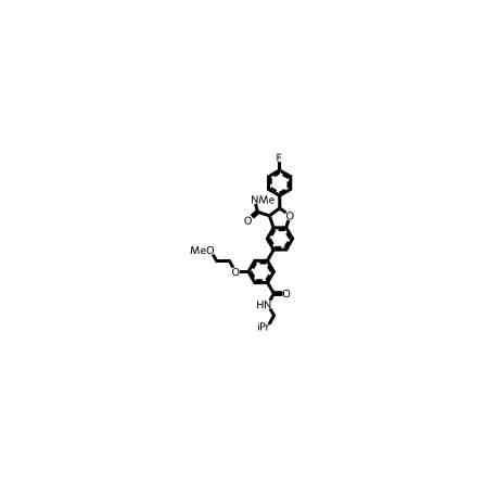 CNC(=O)C1c2cc(-c3cc(OCCOC)cc(C(=O)NCC(C)C)c3)ccc2OC1c1ccc(F)cc1